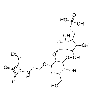 CCOc1c(NCCO[C@H]2OC(CO)[C@@H](O)C(O)C2O[C@H]2OC3(O)C2C(O)[C@H](O)C3CCP(=O)(O)O)c(=O)c1=O